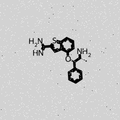 C[C@@H](N)[C@H](Oc1cccc2sc(C(=N)N)cc12)c1ccccc1